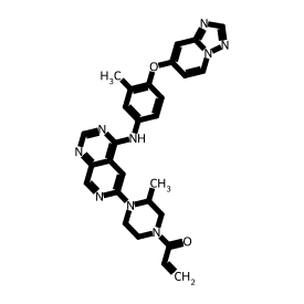 C=CC(=O)N1CCN(c2cc3c(Nc4ccc(Oc5ccn6ncnc6c5)c(C)c4)ncnc3cn2)C(C)C1